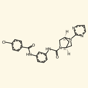 O=C(Nc1cccc(NC(=O)N2C[C@@H]3C[C@H]2CN3c2ncccn2)c1)c1ccc(Cl)cc1